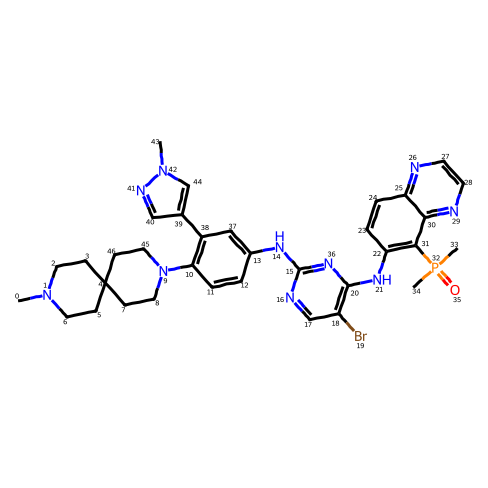 CN1CCC2(CC1)CCN(c1ccc(Nc3ncc(Br)c(Nc4ccc5nccnc5c4P(C)(C)=O)n3)cc1-c1cnn(C)c1)CC2